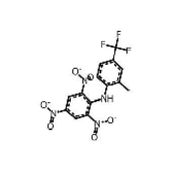 Cc1cc(C(F)(F)F)ccc1Nc1c([N+](=O)[O-])cc([N+](=O)[O-])cc1[N+](=O)[O-]